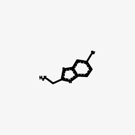 NCc1nc2ccc(Br)cc2s1